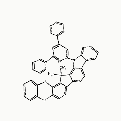 CC1(C)c2c(ccc3c2Sc2ccccc2S3)-c2ccc3c4ccccc4n(-c4cc(-c5ccccc5)cc(-c5ccccc5)n4)c3c21